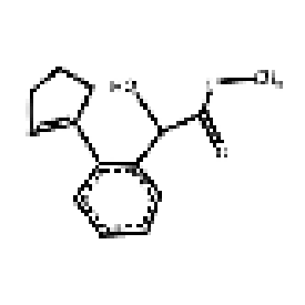 COC(=O)C(O)c1ccccc1C1=CCCC1